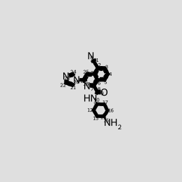 N#Cc1cccc2c(C(=O)N[C@H]3CC[C@H](N)CC3)nc(-n3ccnc3)cc12